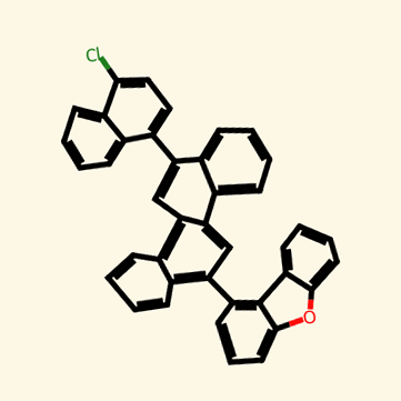 Clc1ccc(-c2cc3c4ccccc4c(-c4cccc5oc6ccccc6c45)cc3c3ccccc23)c2ccccc12